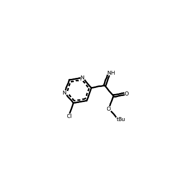 CC(C)(C)OC(=O)C(=N)c1cc(Cl)ncn1